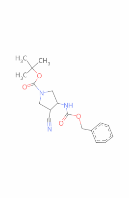 CC(C)(C)OC(=O)N1CC(C#N)C(NC(=O)OCc2ccccc2)C1